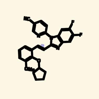 COc1cccc(/C=C/c2nc3cc(F)c(F)cc3n2-c2ccc(C#N)cn2)c1OC1CCCC1